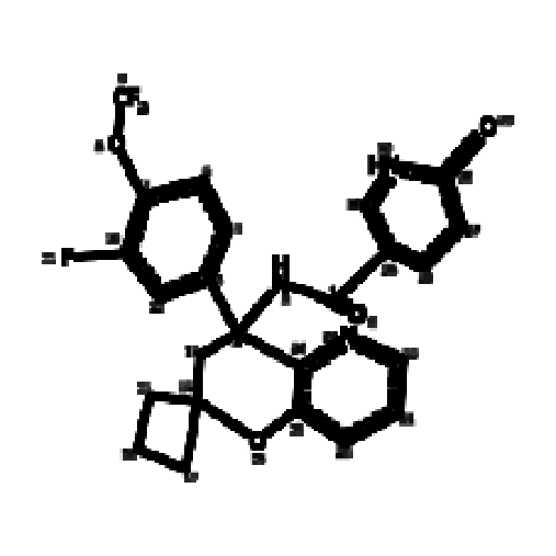 O=C(NC1(c2ccc(OC(F)(F)F)c(F)c2)CC2(CCC2)Oc2cccnc21)c1ccc(=O)[nH]c1